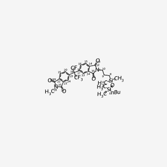 CCCC[Si](C)(C)O[Si](C)(C)CCCN1C(=O)c2ccc(C(c3ccc4c(c3)C(=O)N(C)C4=O)(C(F)(F)F)C(F)(F)F)cc2C1=O